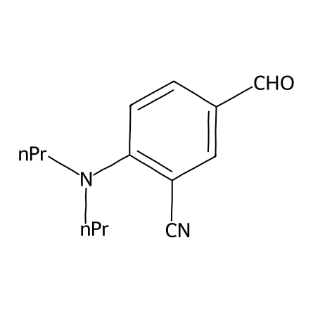 CCCN(CCC)c1ccc(C=O)cc1C#N